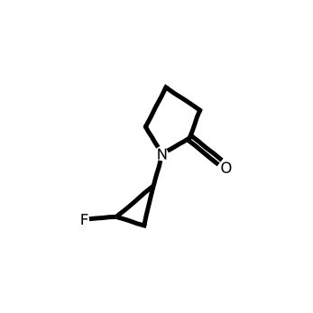 O=C1CCCN1C1CC1F